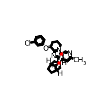 Cc1cc(N2C[C@H]3CC[C@@H](C2)C3Nc2nc3n(n2)CCC[C@H]3Oc2cccc(Cl)c2)ncn1